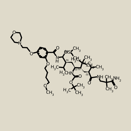 COCCCCOc1cc(OCCN2CCOCC2)ccc1C(=O)NC(O[SiH](C)C)[C@@H](C[C@H](NC(=O)OC(C)(C)C)[C@@H](C[C@H](C(=O)NCC(C)(C)C(N)=O)C(C)C)C(C)(C)C)C(C)C